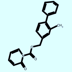 Cc1cc(COC(=O)n2ccccc2=O)ccc1-c1ccccc1